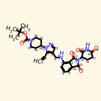 C#Cc1c(CNc2cccc3c2C(=O)N(C2CCC(=O)NC2=O)C3=O)cnn1C1CCN(C(=O)OC(C)(C)C)CC1